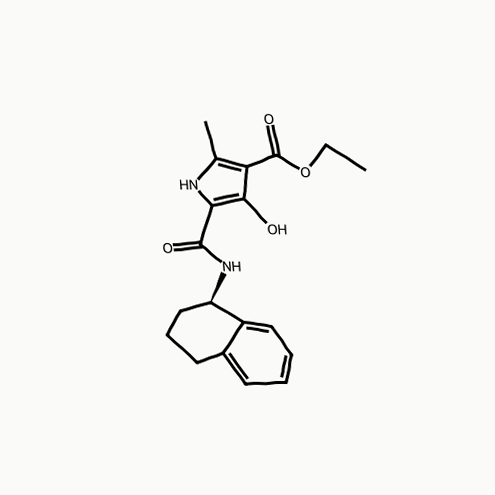 CCOC(=O)c1c(C)[nH]c(C(=O)N[C@@H]2CCCc3ccccc32)c1O